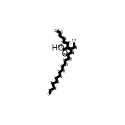 CCCCCCCCCCCCCCCC(CC)=C(CCCCCC)C(=O)O